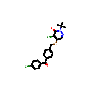 CC(C)(C)n1ncc(SCc2ccc(C(=O)c3ccc(Cl)cc3)cc2)c(Cl)c1=O